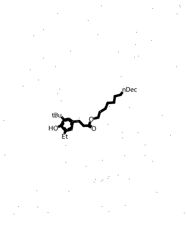 CCCCCCCCCCCCCCCCCOC(=O)CCc1cc(CC)c(O)c(C(C)(C)C)c1